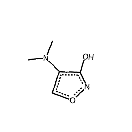 CN(C)c1conc1O